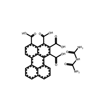 NC(=O)NC(N)=O.O=C(O)c1c(C(=O)O)c2c(C(=O)O)ccc3c4cccc5cccc(c(c1C(=O)O)c23)c54